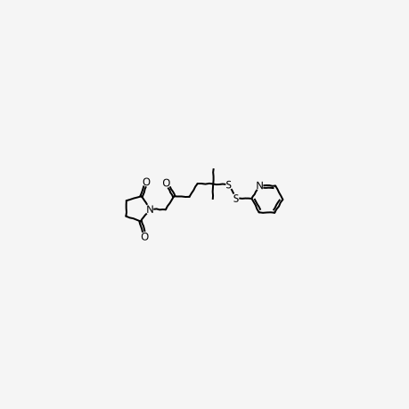 CC(C)(CCC(=O)CN1C(=O)CCC1=O)SSc1ccccn1